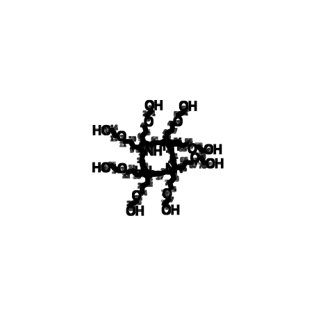 OCCOCCCC1=C(CCCOCCO)C2/C=c3\[nH]/c(c(CCCOCCO)c3CCCOCCO)=C\C3N/C(=C\c4[nH]c(c(CCCOCCO)c4CCCOCCO)/C=C/1N2)C(CCCOCCO)=C3CCCOCCO